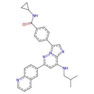 CC(C)CNc1cc(-c2ccc3ncccc3c2)nn2c(-c3ccc(C(=O)NC4CC4)cc3)cnc12